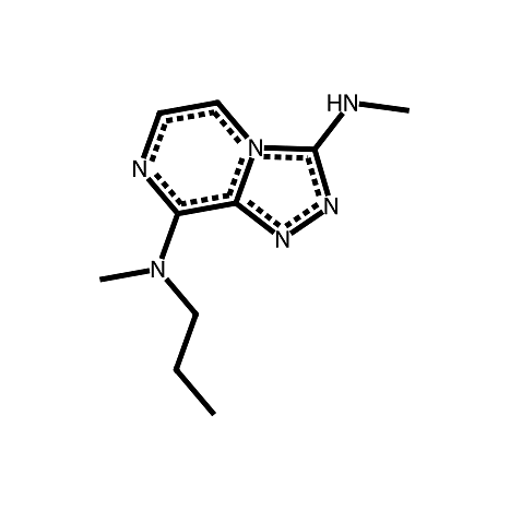 CCCN(C)c1nccn2c(NC)nnc12